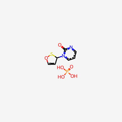 O=P(O)(O)O.O=c1ncccn1C1C=COS1